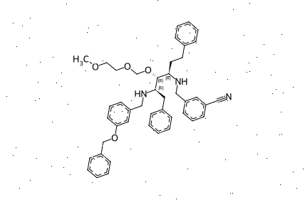 COCCOCO[C@H]([C@@H](CCc1ccccc1)NCc1cccc(C#N)c1)[C@@H](Cc1ccccc1)NCc1cccc(OCc2ccccc2)c1